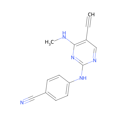 C#Cc1cnc(Nc2ccc(C#N)cc2)nc1NC